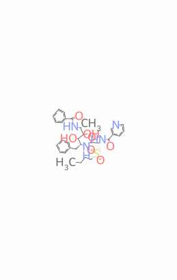 CCCCS(=O)(=O)C[C@@H](NC(=O)c1cccnc1)C(=O)N[C@@H](Cc1ccccc1)[C@@H](O)[C@H](O)[C@@H](C)NC(=O)c1ccccc1